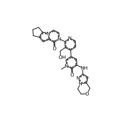 Cn1cc(-c2ccnc(-n3ccn4c5c(cc4c3=O)CCC5)c2CO)cc(Nc2cc3n(n2)CCOC3)c1=O